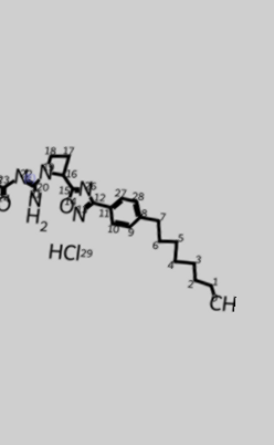 CCCCCCCCc1ccc(-c2noc(C3CCN3/C(N)=N/C(=O)O)n2)cc1.Cl